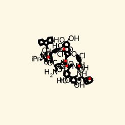 CC(C)C[C@H](C(=O)N[C@H]1C(=O)C[C@@H](CC(N)=O)C(=O)N[C@H]2C(=O)C[C@H]3C(=O)N[C@H](C(=O)N[C@H](C(=O)CC4C5CC6CC(C5)CC4C6)c4cc(O)cc(O)c4-c4cc3ccc4O)[C@H](O)c3ccc(c(Cl)c3)Oc3cc2cc(c3O[C@@H]2C[C@H](CO)[C@@H](O)[C@H](O)[C@H]2O)Oc2ccc(cc2Cl)[C@H]1O)N(C)C(=O)OCC1c2ccccc2-c2ccccc21